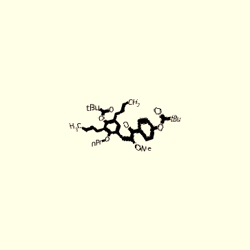 CC=CCc1cc(C=C(OC)C(=O)c2ccc(OC(=O)C(C)(C)C)cc2)c(OCCC)c(CC=CC)c1OC(=O)C(C)(C)C